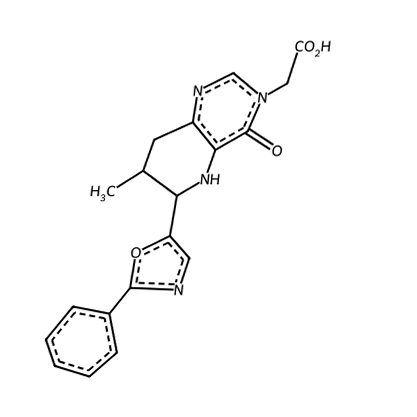 CC1Cc2ncn(CC(=O)O)c(=O)c2NC1c1cnc(-c2ccccc2)o1